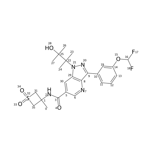 CC1(NC(=O)c2cnc3c(-c4cccc(OC(F)F)c4)nn(C(C)(C)C(C)(C)O)c3c2)CS(=O)(=O)C1